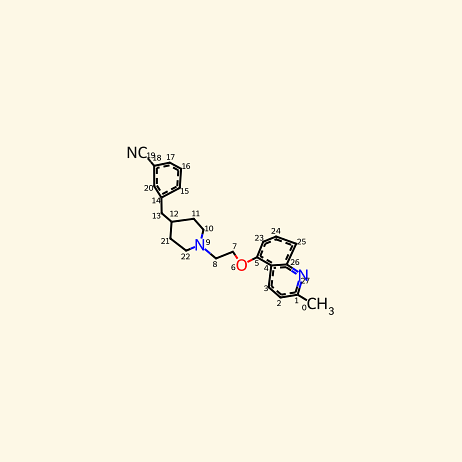 Cc1ccc2c(OCCN3CCC(Cc4cccc(C#N)c4)CC3)cccc2n1